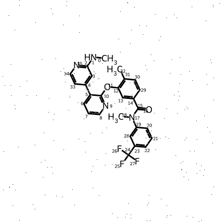 CNc1cc(-c2cccnc2Oc2cc(C(=O)N(C)c3cccc(C(F)(F)F)c3)ccc2C)ccn1